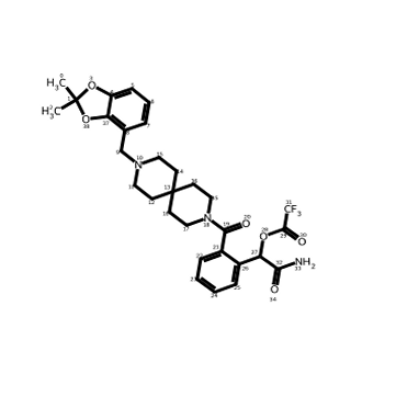 CC1(C)Oc2cccc(CN3CCC4(CC3)CCN(C(=O)c3ccccc3C(OC(=O)C(F)(F)F)C(N)=O)CC4)c2O1